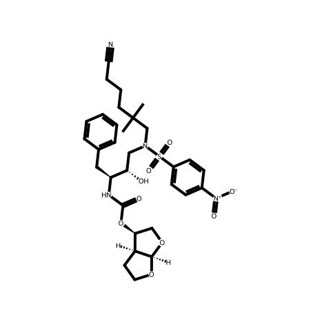 CC(C)(CCCC#N)CN(C[C@H](O)[C@H](Cc1ccccc1)NC(=O)O[C@H]1CO[C@H]2OCC[C@H]21)S(=O)(=O)c1ccc([N+](=O)[O-])cc1